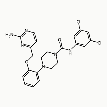 Nc1nccc(COc2ccccc2N2CCN(C(=O)Nc3cc(Cl)cc(Cl)c3)CC2)n1